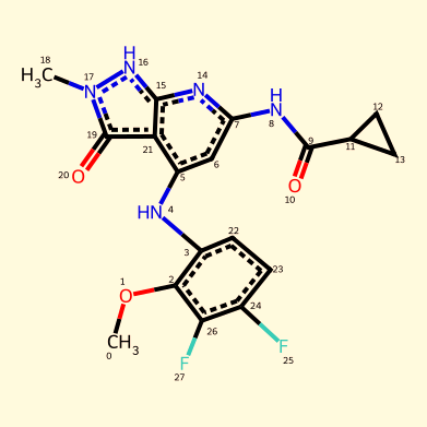 COc1c(Nc2cc(NC(=O)C3CC3)nc3[nH]n(C)c(=O)c23)ccc(F)c1F